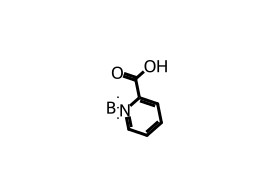 O=C(O)c1ccccn1.[B]